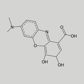 CN(C)c1ccc2c(c1)OC1=C(O)C(O)C=C(C(=O)O)C1=N2